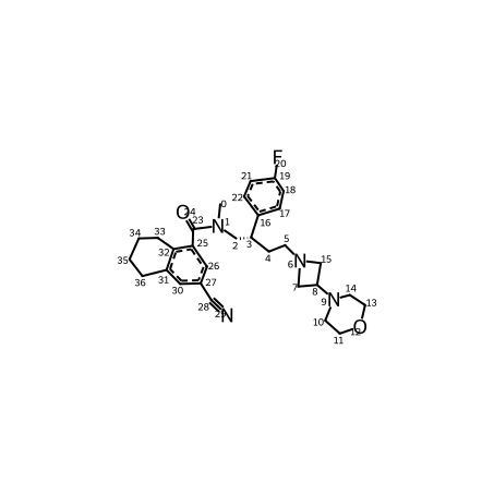 CN(C[C@@H](CCN1CC(N2CCOCC2)C1)c1ccc(F)cc1)C(=O)c1cc(C#N)cc2c1CCCC2